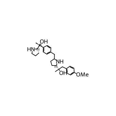 COc1ccc(CC(C)(O)[C@@H]2CCC(Cc3ccc([C@@](C)(O)[C@@H]4CCCN4)cc3)N2)cc1